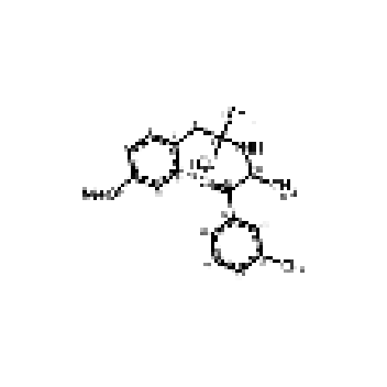 COc1ccc(CC(C)(C)NC(C)C(=O)c2cccc(Cl)c2)cc1